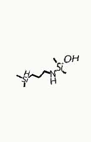 C[SiH](C)CCCN[Si](C)(C)O